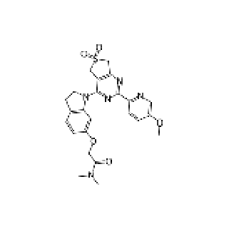 COc1ccc(-c2nc3c(c(N4CCc5ccc(OCC(=O)N(C)C)cc54)n2)CS(=O)(=O)C3)nc1